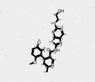 COc1ccc(Cl)c(F)c1-c1cc(C)ncc1C(=O)Nc1nc2cnc(SCCO)nc2s1